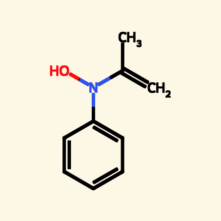 C=C(C)N(O)c1ccccc1